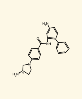 Nc1ccc(-c2ccccc2)c(NC(=O)c2ccc(N3CC[C@@H](N)C3)cc2)c1